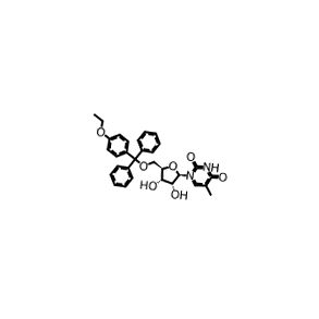 CCOc1ccc(C(OC[C@H]2O[C@@H](n3cc(C)c(=O)[nH]c3=O)[C@H](O)[C@@H]2O)(c2ccccc2)c2ccccc2)cc1